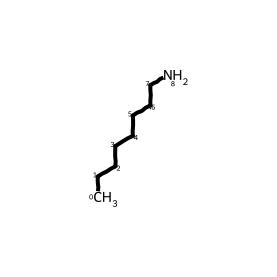 CCCCCC[CH]CN